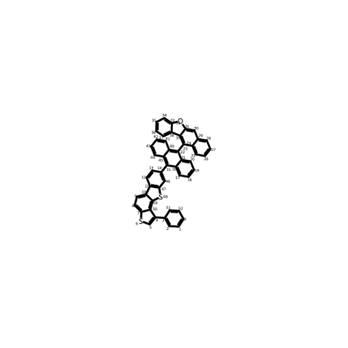 c1ccc(-c2csc3ccc4c5ccc(-c6c7ccccc7c(-c7c8ccccc8cc8oc9ccccc9c78)c7ccccc67)cc5sc4c23)cc1